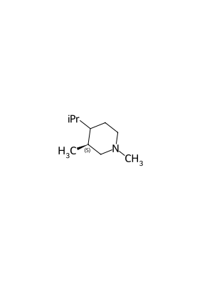 CC(C)C1CCN(C)C[C@H]1C